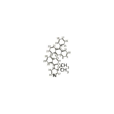 CC1(C)c2cc(-c3c4ccccc4c(-c4ccccc4)c4ccccc34)c3ccccc3c2C2C=CN=CC21